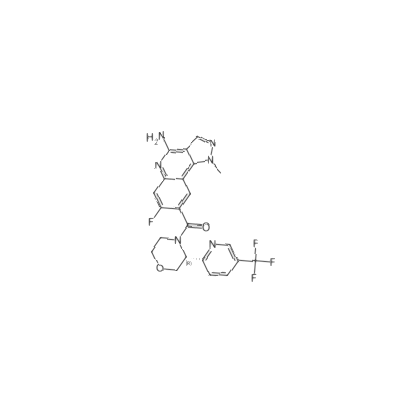 Cn1ncc2c(N)nc3cc(F)c(C(=O)N4CCOC[C@H]4c4ccc(C(F)(F)F)cn4)cc3c21